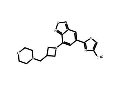 O=Cc1coc(-c2cc(N3CC(CN4CCOCC4)C3)c3nonc3c2)n1